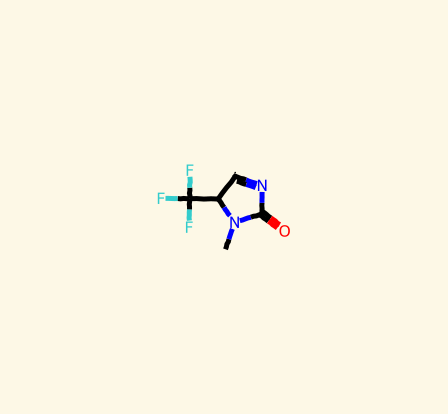 CN1C(=O)N=[C]C1C(F)(F)F